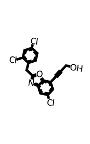 OCC#Cc1cc(Cl)cc2nc(Cc3ccc(Cl)cc3Cl)oc12